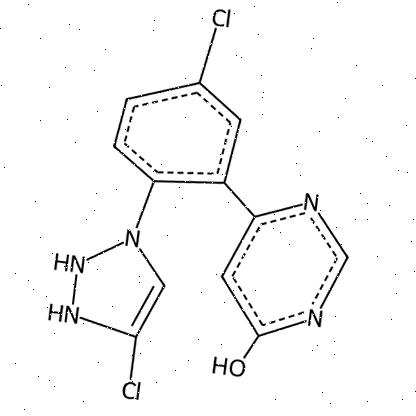 Oc1cc(-c2cc(Cl)ccc2N2C=C(Cl)NN2)ncn1